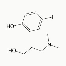 CN(C)CCCO.Oc1ccc(I)cc1